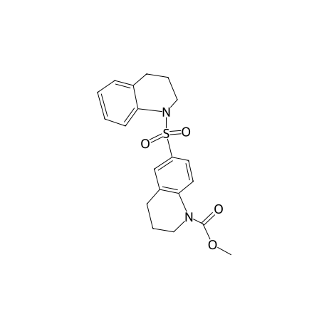 COC(=O)N1CCCc2cc(S(=O)(=O)N3CCCc4ccccc43)ccc21